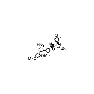 COc1ccc(C(=O)CC(c2cccc(NC(=O)Nc3cc(C(C)(C)C)nn3-c3ccc(C)cc3)c2)C2CCNCC2)c(OC)c1